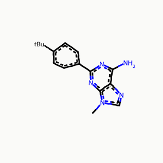 Cn1cnc2c(N)nc(-c3ccc(C(C)(C)C)cc3)nc21